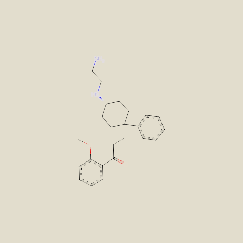 COc1ccccc1C(=O)CC[C@]1(c2ccccc2)CC[C@@H](NCCN)CC1